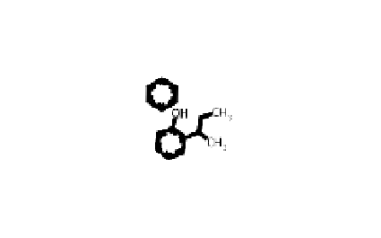 CCC(C)c1ccccc1O.c1ccccc1